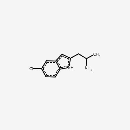 CC(N)Cc1cc2cc(Cl)ccc2[nH]1